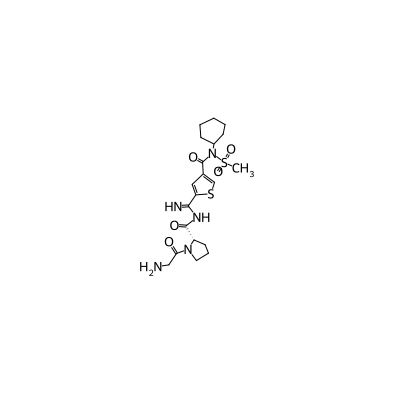 CS(=O)(=O)N(C(=O)c1csc(C(=N)NC(=O)[C@@H]2CCCN2C(=O)CN)c1)C1CCCCC1